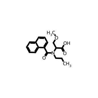 CCCN(C(=O)c1cccc2ccccc12)C(COC)C(=O)O